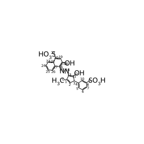 CC1=CC(c2cccc(S(=O)(=O)O)c2)C(O)=C1/N=N/c1c(O)cc(S(=O)(=O)O)c2ccccc12